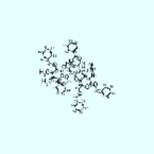 CC[C@@H]1O[C@H](O[C@@H]2C(OCc3ccccc3)[C@H](O[C@@H]3C(COCc4ccccc4)O[C@@H](OCc4ccccc4)C(N=[N+]=[N-])[C@@H]3C)OC3COC(c4ccccc4)O[C@H]32)C(OCc2ccccc2)C(C)[C@@H]1C